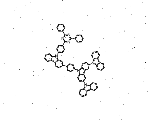 c1ccc(-c2nc(-c3ccccc3)nc(-c3ccc(-n4c5ccccc5c5ccc(-c6ccc(-n7c8ccc(-n9c%10ccccc%10c%10ccccc%109)cc8c8cc(-n9c%10ccccc%10c%10ccccc%109)ccc87)cc6)cc54)cc3)n2)cc1